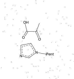 CC(=O)C(=O)O.CCCC(C)n1ccnc1